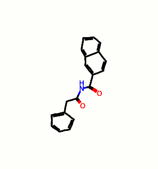 O=C(Cc1ccccc1)NC(=O)c1ccc2ccccc2c1